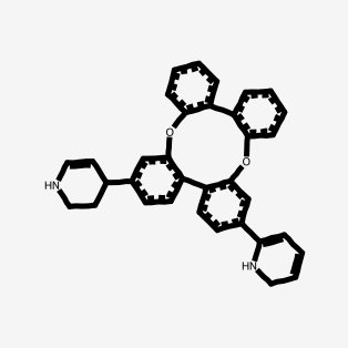 C1=CCNC(c2ccc3c(c2)Oc2ccccc2-c2ccccc2Oc2cc(C4C=CNCC4)ccc2-3)=C1